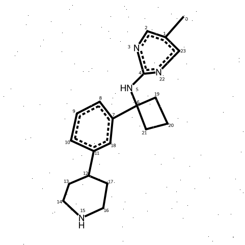 Cc1cnc(NC2(c3cccc(C4CCNCC4)c3)CCC2)nc1